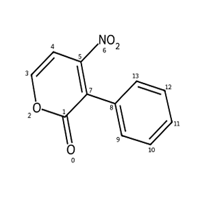 O=c1occc([N+](=O)[O-])c1-c1ccccc1